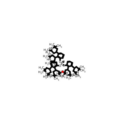 CC1(C)CC(c2cccc(OP(=O)(Oc3cccc(C4CC(C)(C)NC(C)(C)C4)c3C3CC(C)(C)NC(C)(C)C3)Oc3cccc(C4CC(C)(C)NC(C)(C)C4)c3C3CC(C)(C)NC(C)(C)C3)c2C2CC(C)(C)NC(C)(C)C2)CC(C)(C)N1